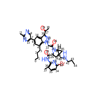 CCCCc1cc(-c2cnc(C)nc2)cc2c(C(C)=O)nn(CC(=O)N3[C@H](C(=O)Nc4nc(Br)ccc4C)C[C@@]4(CNCCC)C[C@@H]34)c12